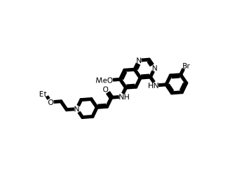 CCOCCN1CCC(=CC(=O)Nc2cc3c(Nc4cccc(Br)c4)ncnc3cc2OC)CC1